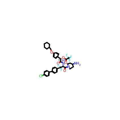 NC1CCN(C(=O)[C@H](NC(=O)[C@@H](OC(=O)C(F)(F)F)c2ccc(OCC3CCCCC3)cc2)C(F)(F)c2ccc(-c3ccc(Cl)cc3)cc2)CC1